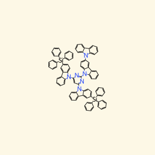 c1ccc([Si](c2ccccc2)(c2ccccc2)c2ccc3c(c2)c2ccccc2n3-c2cc(-n3c4ccccc4c4cc([Si](c5ccccc5)(c5ccccc5)c5ccccc5)ccc43)nc(-n3c4ccccc4c4cc(-n5c6ccccc6c6ccccc65)ccc43)n2)cc1